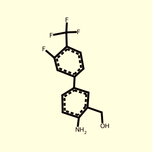 Nc1ccc(-c2ccc(C(F)(F)F)c(F)c2)cc1CO